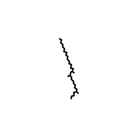 CCCCCCCCCCCCCCCCC(C)CC(C)CCCCCCCC(C)CCCC